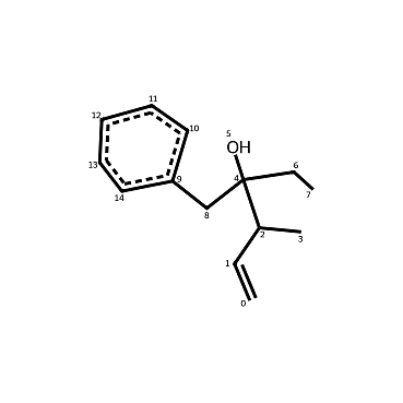 C=CC(C)C(O)(CC)Cc1ccccc1